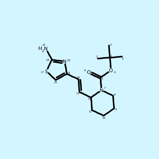 CC(C)(C)OC(=O)N1CCCCC1C=Cc1csc(N)n1